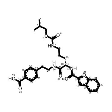 CC(C)COC(=O)NCCC[C@H](NC(=O)c1cc2ccccc2o1)C(=O)NCCc1ccc(C(=O)O)cc1